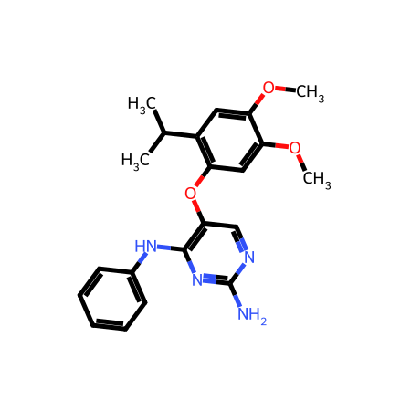 COc1cc(Oc2cnc(N)nc2Nc2ccccc2)c(C(C)C)cc1OC